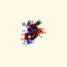 CN[C@H](CC(C)C)C(=O)N[C@H]1C(=O)N[C@@H](CC(N)=O)C(=O)N[C@H]2C(=O)N[C@H]3C(=O)N[C@H](C(=O)N[C@@H](C(=O)NNC(=N)N)c4cc(O)cc(O)c4-c4cc3ccc4O)[C@H](O)c3ccc(c(Cl)c3)Oc3cc2cc(c3O[C@@H]2O[C@H](CO)[C@@H](O)[C@H](O)[C@H]2O[C@H]2C[C@](C)(NCCn3ccc(NC(=O)Cc4ccc(F)c(Cl)c4)nc3=O)[C@H](O)[C@H](C)O2)Oc2ccc(cc2Cl)[C@H]1O